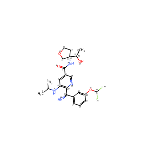 CC(C)Nc1cc(C(=O)N[C@@]2([C@@H](C)O)CCOC2)cnc1C(=N)c1cccc(OC(F)F)c1